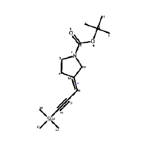 CC(C)(C)OC(=O)N1CC/C(=C\C#C[Si](C)(C)C)C1